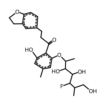 Cc1cc(O)c(C(=O)CCc2ccc3c(c2)CCO3)c(OC(C)C(O)C(O)C(F)C(C)CO)c1